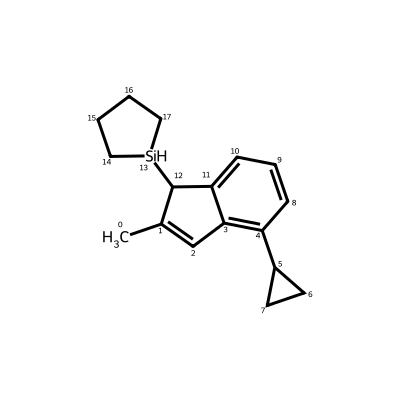 CC1=Cc2c(C3CC3)cccc2C1[SiH]1CCCC1